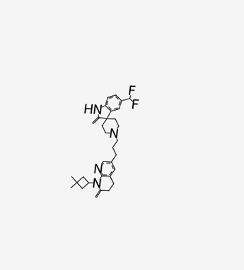 C=C1CCc2cc(CCCN3CCC4(CC3)C(=C)Nc3ccc(C(F)F)cc34)cnc2N1C1CC(C)(C)C1